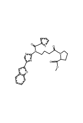 COC(=O)C1CCCN1C(=O)CCCN(C(=O)c1cccs1)c1nc(-c2cc3ccccc3o2)cs1